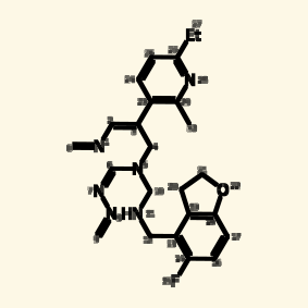 C=N/C=C(\CN(/C=N\N=C)CNCc1c(F)ccc2c1CCO2)c1ccc(CC)nc1C